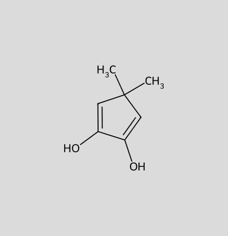 CC1(C)C=C(O)C(O)=C1